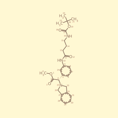 COC(=O)[C@H](c1cccc(NC(=O)CCCNC(=O)OC(C)(C)C)c1)N1Cc2ccccc2C1